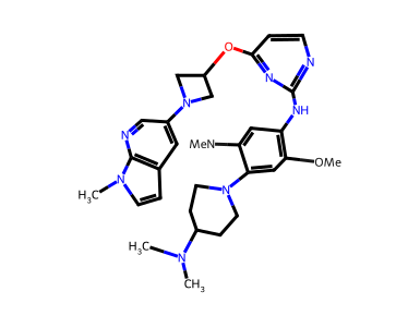 CNc1cc(Nc2nccc(OC3CN(c4cnc5c(ccn5C)c4)C3)n2)c(OC)cc1N1CCC(N(C)C)CC1